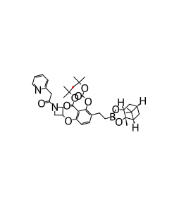 CC(C)(C)OC(=O)Oc1c(CCB2O[C@@H]3C[C@@H]4C[C@@H](C4(C)C)[C@]3(C)O2)ccc(OC2CN(C(=O)Cc3ccccn3)C2)c1C(=O)OC(C)(C)C